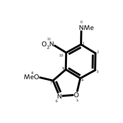 CNc1ccc2onc(OC)c2c1[N+](=O)[O-]